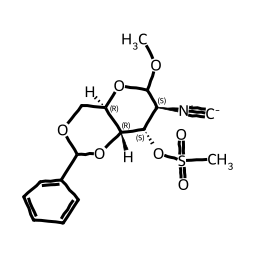 [C-]#[N+][C@@H]1C(OC)O[C@@H]2COC(c3ccccc3)O[C@H]2[C@H]1OS(C)(=O)=O